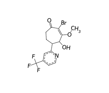 COC1=C(Br)C(=O)CCC(c2cc(C(F)(F)F)ccn2)C1O